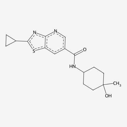 CC1(O)CCC(NC(=O)c2cnc3nc(C4CC4)sc3c2)CC1